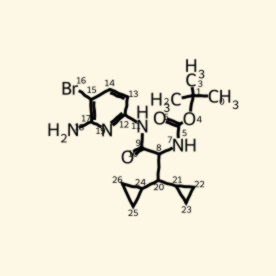 CC(C)(C)OC(=O)NC(C(=O)Nc1ccc(Br)c(N)n1)C(C1CC1)C1CC1